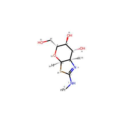 CCCNC1=N[C@@H]2[C@@H](O)[C@H](O)[C@@H](CO)O[C@@H]2S1